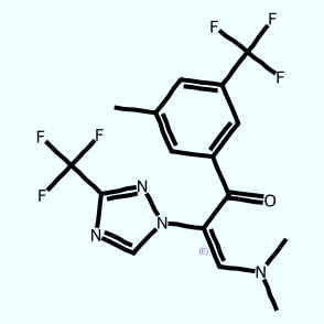 Cc1cc(C(=O)/C(=C\N(C)C)n2cnc(C(F)(F)F)n2)cc(C(F)(F)F)c1